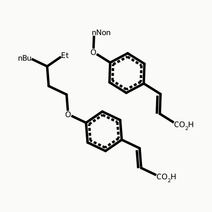 CCCCC(CC)CCOc1ccc(C=CC(=O)O)cc1.CCCCCCCCCOc1ccc(C=CC(=O)O)cc1